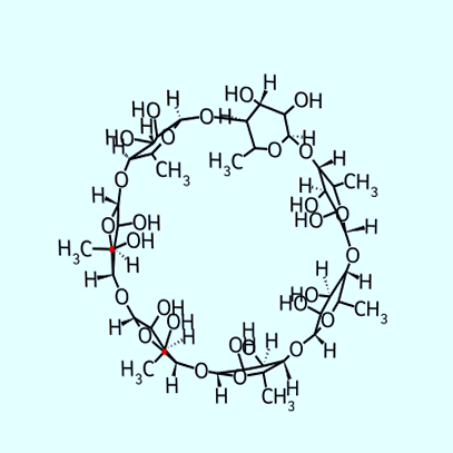 CC1O[C@@H]2O[C@@H]3C(C)O[C@H](O[C@@H]4C(C)O[C@H](O[C@@H]5C(C)O[C@H](O[C@@H]6C(C)O[C@H](O[C@@H]7C(C)O[C@H](O[C@@H]8C(C)O[C@H](O[C@H]1[C@H](O)C2O)C(O)[C@H]8O)C(O)[C@H]7O)C(O)[C@H]6O)C(O)[C@H]5O)C(O)[C@H]4O)C(O)[C@H]3O